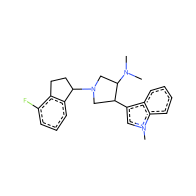 CN(C)C1CN(C2CCc3c(F)cccc32)CC1c1cn(C)c2ccccc12